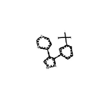 IC(I)(I)c1cccc(-c2n[nH]cc2-c2ccncn2)c1